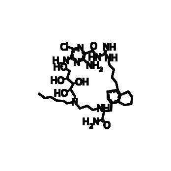 CCCCCCN(CCCNC(Cc1ccc(CCCCNC(=N)NC(=O)c2nc(Cl)c(N)nc2N)c2c1CCCC2)C(N)=O)C[C@H](O)[C@@H](O)[C@H](O)CO